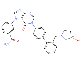 NC(=O)c1cccc(-n2cnc3ncn(-c4ccc(-c5ccccc5CN5CC[C@H](O)C5)cc4)c(=O)c32)c1